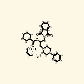 O=C(O)/C=C\C(=O)O.O=C(OC(CN1CCN(c2ccccn2)CC1)CN1C(=O)c2ccccc2C1=O)C1CCCCC1